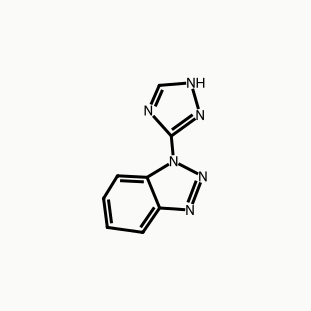 c1ccc2c(c1)nnn2-c1nc[nH]n1